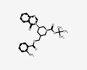 CC(C)(C)OC(=O)N1CC(COC(=O)c2ccccc2N)C[C@@H](n2cnc3ccccc3c2=O)C1